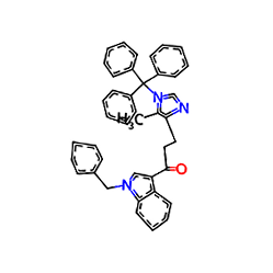 Cc1c(CCC(=O)c2cn(Cc3ccccc3)c3ccccc23)ncn1C(c1ccccc1)(c1ccccc1)c1ccccc1